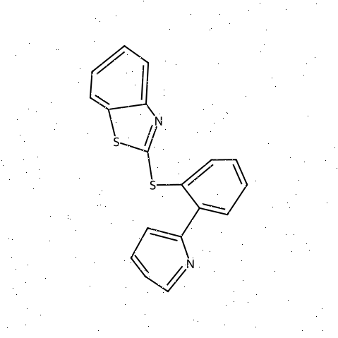 c1ccc(-c2ccccc2Sc2nc3ccccc3s2)nc1